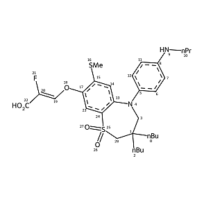 CCCCC1(CCCC)CN(c2ccc(NCCC)cc2)c2cc(SC)c(OC=C(F)C(=O)O)cc2S(=O)(=O)C1